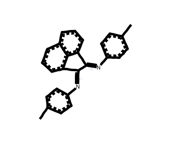 Cc1ccc(/N=C2/C(=N/c3ccc(C)cc3)c3cccc4cccc2c34)cc1